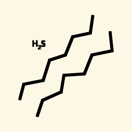 CCCCCCCC.CCCCCCCC.S